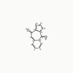 O=C1C=C2C=CC=CC2C(=O)c2ccsc21